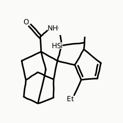 CCC1=C(C2([SiH](C)C)C3CC4CC(C3)CC2(C([NH])=O)C4)C(C)C=C1